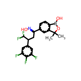 CC1(C)OB(O)c2ccc(/C(CC(c3cc(F)c(F)c(F)c3)C(F)F)=N/O)cc21